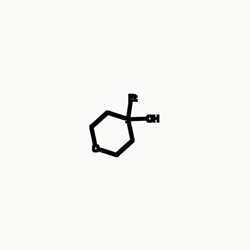 CCS1(O)CCOCC1